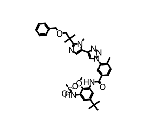 COc1c(NC(=O)c2ccc(C)c(-n3cc(-c4cnc(C(C)(C)COCc5ccccc5)n4C)nn3)c2)cc(C(C)(C)C)cc1NS(C)(=O)=O